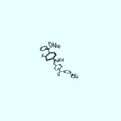 COC(=O)c1ccc(NCC2CCN(C(=O)OC(C)(C)C)CC2)cc1I